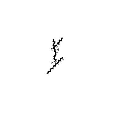 CCCCCCCC(CCCCC)NCCC#CCCNC(=O)C(CCCC)CCCCCC